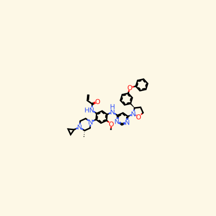 C=CC(=O)Nc1cc(Nc2cc(N3OCC[C@@H]3c3cccc(Oc4ccccc4)c3)ncn2)c(OC)cc1N1CCN(C2CC2)[C@@H](C)C1